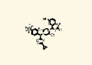 CC[C@H]1CN(C(c2ccc(S(F)(F)(F)(F)F)cc2)c2nc(C3CC3)no2)[C@H](CC)CN1c1nc(=O)n(C)c2ccc(C#N)nc12